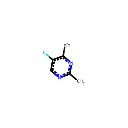 CCCc1nc(C)ncc1F